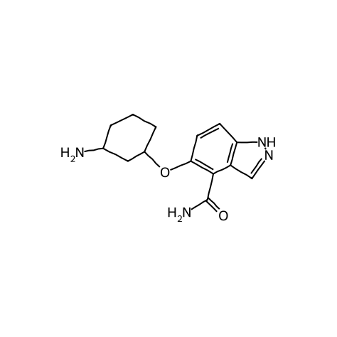 NC(=O)c1c(OC2CCCC(N)C2)ccc2[nH]ncc12